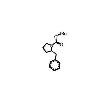 CC(C)(C)OC(=O)N1CCC[C@@H]1Cc1ccccc1